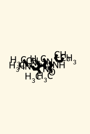 CCc1cc(NC(C)(C)C)ncc1-c1nc(OC)c(NC(CC)CC)nc1C